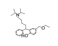 CCOCc1ccc(O)c(C(CCCCN(C(C)C)C(C)C)c2ccccc2)c1